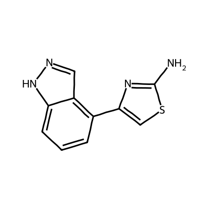 Nc1nc(-c2cccc3[nH]ncc23)cs1